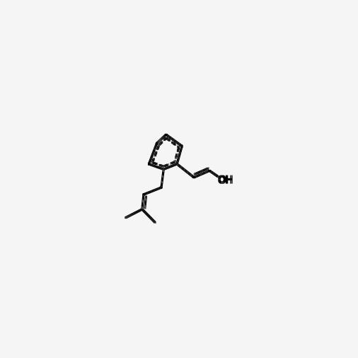 CC(C)=CCc1ccccc1C=CO